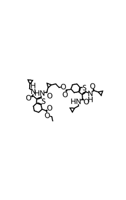 CCOC(=O)C1CCCc2c1sc(NC(=O)C1CC1CCOC(=O)C1CCc3sc(NC(=O)C4CC4)c(C(=O)NCC4CC4)c3C1)c2C(=O)NCC1CC1